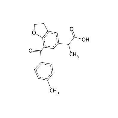 Cc1ccc(C(=O)c2cc(C(C)C(=O)O)cc3c2OCC3)cc1